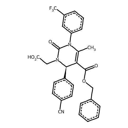 CC1=C(C(=O)OCc2ccccc2)[C@@H](c2ccc(C#N)cc2)N(CC(=O)O)C(=O)N1c1cccc(C(F)(F)F)c1